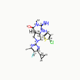 Cc1nc(N2C[C@H]3C(=O)N(C)C(=N)N[C@@]3(c3ccc(Cl)s3)C2)nc(C2CC2)c1F